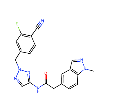 Cn1ncc2cc(CC(=O)Nc3cnn(Cc4ccc(C#N)c(F)c4)n3)ccc21